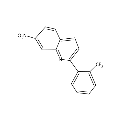 O=[N+]([O-])c1ccc2ccc(-c3ccccc3C(F)(F)F)nc2c1